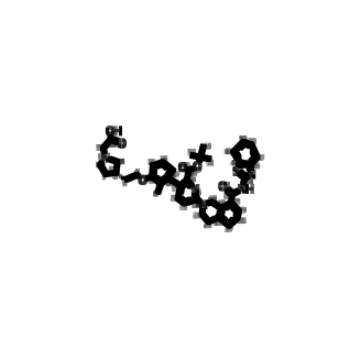 Cc1c(OCC[C@@H]2CCN(CC(=O)O)C2)cccc1-c1ccc(N2CCc3cccc(C(=O)Nc4nc5ccccc5s4)c3C2)nc1C(=O)OC(C)(C)C